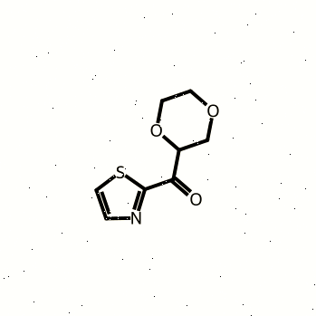 O=C(c1nccs1)C1COCCO1